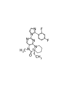 CC[C@]12CCCCN1c1nc(-n3ccnc3-c3ccc(F)cc3F)ncc1N(C)C2=O